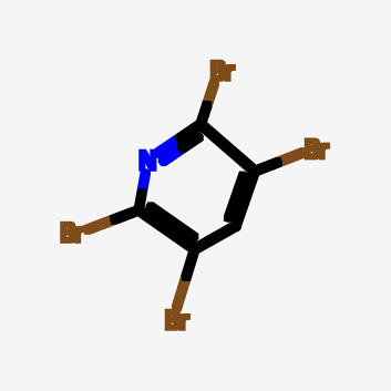 Brc1cc(Br)c(Br)nc1Br